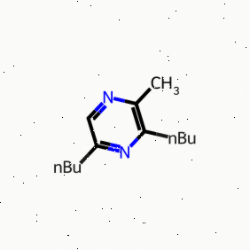 CCCCc1cnc(C)c(CCCC)n1